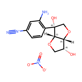 N#[N+]c1ccc([C@@]2(O)CO[C@@H]3[C@H](O)CO[C@@H]32)c(N)c1.O=[N+]([O-])[O-]